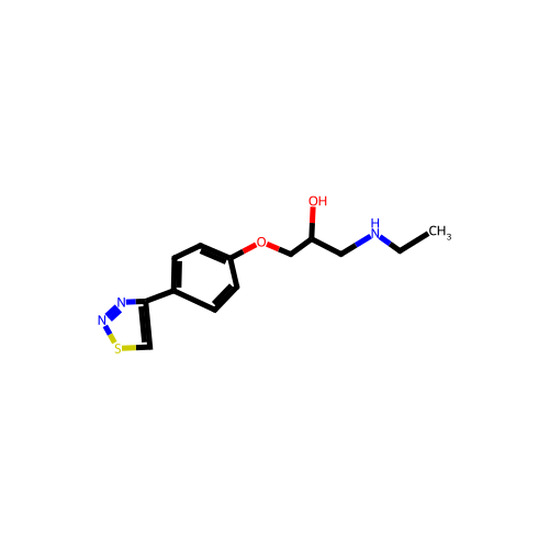 CCNCC(O)COc1ccc(-c2csnn2)cc1